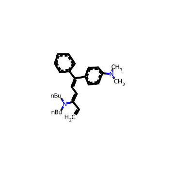 C=CC(=CC=C(c1ccccc1)c1ccc(N(C)C)cc1)N(CCCC)CCCC